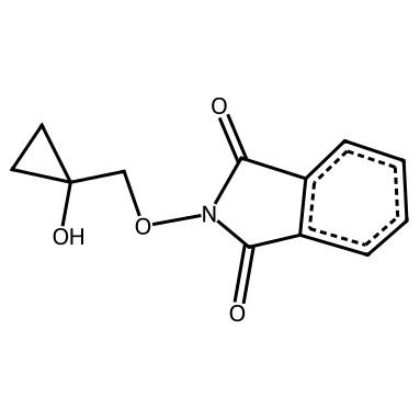 O=C1c2ccccc2C(=O)N1OCC1(O)CC1